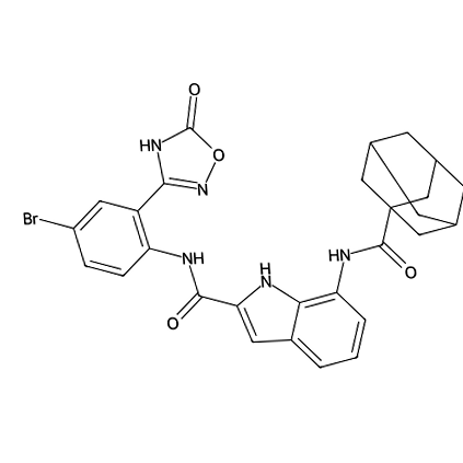 O=C(Nc1ccc(Br)cc1-c1noc(=O)[nH]1)c1cc2cccc(NC(=O)C34CC5CC(CC(C5)C3)C4)c2[nH]1